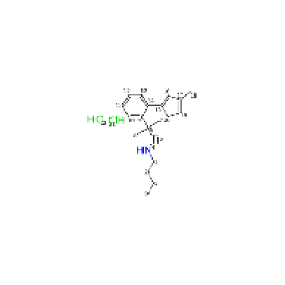 CCCC[NH][Ti][C](C)(C)c1ccccc1C1=CC(C)=CC1.Cl.Cl